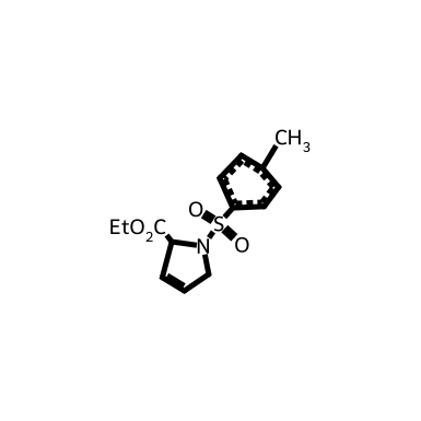 CCOC(=O)C1C=CCN1S(=O)(=O)c1ccc(C)cc1